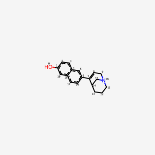 Oc1ccc2cc(C3=CCN4CCCC3C4)ccc2c1